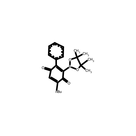 CCCCC1=CC(=O)C(c2ccccc2)=C(B2OC(C)(C)C(C)(C)O2)C1=O